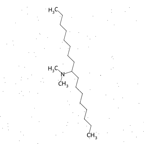 CCCCCCCCC(CCCCCCCC)N(C)C